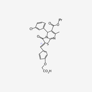 CC1=C(C(=O)OC(C)C)C(c2cccc(Cl)c2)n2c(s/c(=C\c3ccc(OCC(=O)O)cc3)c2=O)=N1